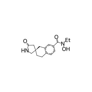 CCN(O)C(=O)c1ccc2c(c1)C[C@@]1(CC2)CNC(=O)C1